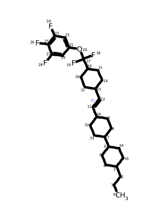 CCCC1CCC(C2CCC(/C=C/C3CCC(C(F)(F)Oc4cc(F)c(F)c(F)c4)CC3)CC2)CC1